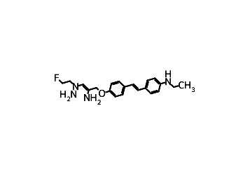 CCNc1ccc(/C=C/c2ccc(OC/C(N)=C/N(N)CCF)cc2)cc1